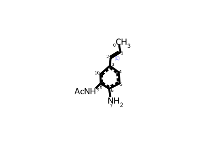 C/C=C/c1ccc(N)c(NC(C)=O)c1